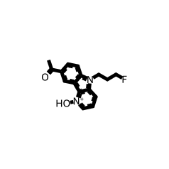 CC(=O)c1ccc2c(c1)c1c(ccc[n+]1O)n2CCCF